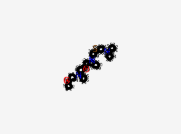 c1ccc2c(c1)oc1ccc(-n3c4ccccc4c4c5oc6c(ccc7c6c6ccccc6n7-c6ccc7sc8ccc(-n9c%10ccccc%10c%10ccccc%109)cc8c7c6)c5ccc43)cc12